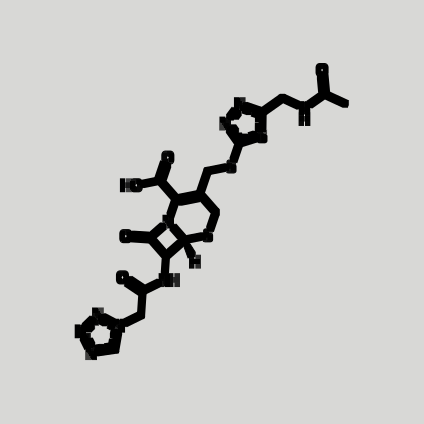 CC(=O)NCc1nnc(SCC2=C(C(=O)O)N3C(=O)C(NC(=O)Cn4cnnn4)[C@H]3SC2)s1